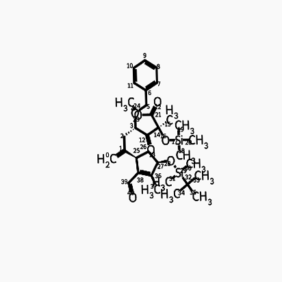 C=C(C[C@H](OCc1ccccc1)C(=O)[C@](C)(O[Si](C)(C)C)C(=O)OC)[C@H]1C[C@@H](O[Si](C)(C)C(C)(C)C)C(C)=C1C=O